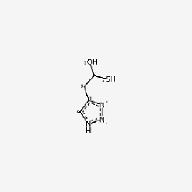 OC(S)Cc1c[nH]nn1